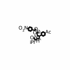 CC(=O)c1ccc(C2=C(C(=O)OC(=O)c3ccc([N+](=O)[O-])cc3)N3C(=O)[C@H](C(C)C)[C@H]3[C@H]2C)cc1